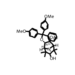 COc1ccc(C(O[C@H]2[C@@H](OC(C)=O)[C@H]3N(C)[C@@H]2C(C)(C)C(O)C3(C)C)(c2ccccc2)c2ccc(OC)cc2)cc1